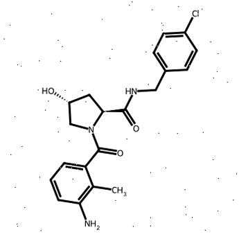 Cc1c(N)cccc1C(=O)N1C[C@H](O)C[C@H]1C(=O)NCc1ccc(Cl)cc1